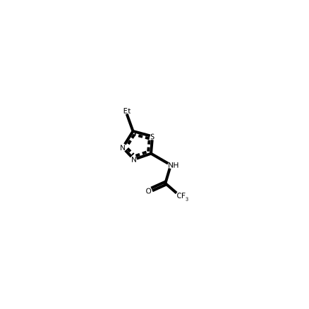 CCc1nnc(NC(=O)C(F)(F)F)s1